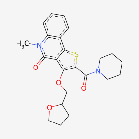 Cn1c(=O)c2c(OCC3CCCO3)c(C(=O)N3CCCCC3)sc2c2ccccc21